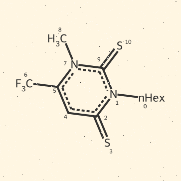 CCCCCCn1c(=S)cc(C(F)(F)F)n(C)c1=S